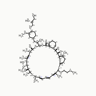 COCCOC1C[C@@H]2CC[C@@H](C)[C@@](O)(O2)C(=O)C(=O)N2CCCC[C@H]2C(=O)O[C@H]([C@H](C)C[C@@H]2CC[C@@H](OC[C@H](O)CO)[C@H](OC)C2)CC(=O)[C@H](C)/C=C(\C)[C@@H](O)[C@@H](OC)C(=O)[C@H](C)C[C@H](C)/C=C/C=C/C=C/1C